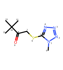 Cn1nnnc1SCC(=O)C(C)(C)C